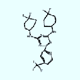 FC1(F)CCC(Nc2nc(NC3CCC(F)(F)CC3)nc(-c3cc(C(F)(F)F)ccn3)n2)CC1